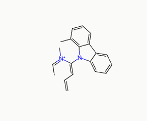 C=C/C=C(n1c2ccccc2c2cccc(C)c21)\[N+](C)=C/C